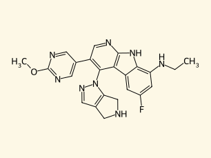 CCNc1cc(F)cc2c1[nH]c1ncc(-c3cnc(OC)nc3)c(-n3ncc4c3CNC4)c12